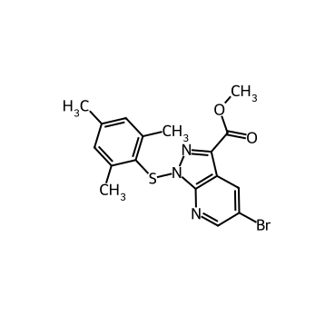 COC(=O)c1nn(Sc2c(C)cc(C)cc2C)c2ncc(Br)cc12